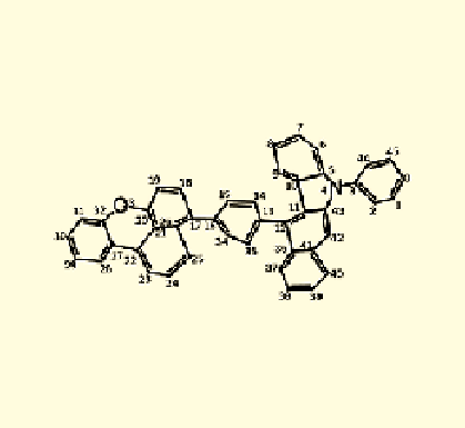 c1ccc(-n2c3ccccc3c3c(-c4ccc(-c5ccc6c7c(cccc57)-c5ccccc5O6)cc4)c4ccccc4cc32)cc1